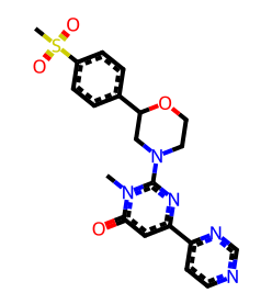 Cn1c(N2CCOC(c3ccc(S(C)(=O)=O)cc3)C2)nc(-c2ccncn2)cc1=O